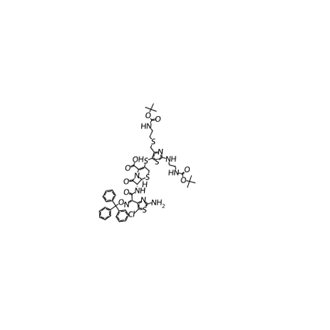 CC(C)(C)OC(=O)NCCNc1nc(CSCCNC(=O)OC(C)(C)C)c(SC2=C(C(=O)O)N3C(=O)[C@@H](NC(=O)/C(=N\OC(c4ccccc4)(c4ccccc4)c4ccccc4)c4nc(N)sc4Cl)[C@@H]3SC2)s1